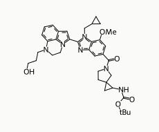 COc1cc(C(=O)N2CCC3(CC3NC(=O)OC(C)(C)C)C2)cc2nc(-c3cc4cccc5c4n3CCN5CCCO)n(CC3CC3)c12